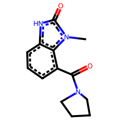 Cn1c(=O)[nH]c2cccc(C(=O)N3CCCC3)c21